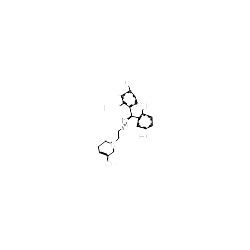 Cc1ccccc1/C(=N\OCCN1CCC=C(C(=O)O)C1)c1ccc(Cl)cc1C.Cl